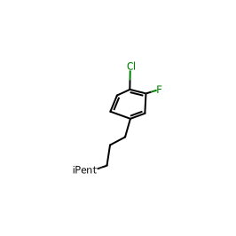 CCCC(C)CCCc1ccc(Cl)c(F)c1